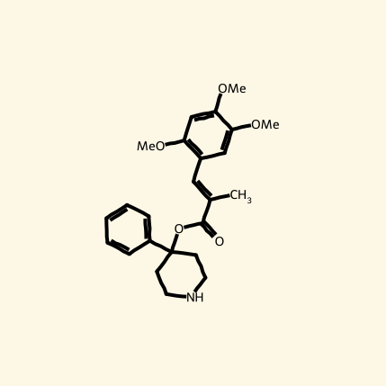 COc1cc(OC)c(OC)cc1/C=C(\C)C(=O)OC1(c2ccccc2)CCNCC1